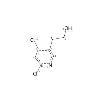 OCCc1cnc(Cl)cc1Cl